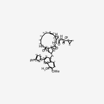 COc1ccc2c(C[C@H]3C[C@H]4C(=O)NCCCCC/C=C\[C@@H]5C[C@@]5(C(=O)NS(=O)(=O)C5CC5)NC(=O)[C@@H]4C3)cc(-c3nc(C(C)C)cs3)nc2c1C